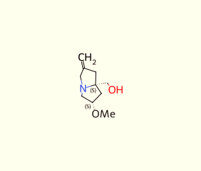 C=C1CN2C[C@@H](OC)C[C@]2(CO)C1